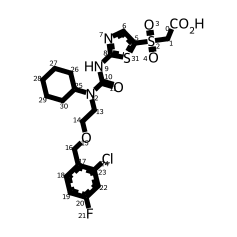 O=C(O)CS(=O)(=O)c1cnc(NC(=O)N(CCOCc2ccc(F)cc2Cl)C2CCCCC2)s1